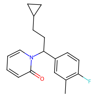 Cc1cc(C(CCC2CC2)n2ccccc2=O)ccc1F